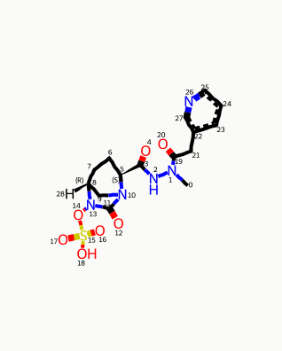 CN(NC(=O)[C@@H]1CC[C@@H]2CN1C(=O)N2OS(=O)(=O)O)C(=O)Cc1cccnc1